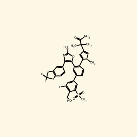 Cc1nc(-c2ccc3c(c2)OC(F)(F)O3)c(-c2cc(-c3cc(F)c(CO)c(S(C)(=O)=O)c3)ccc2-c2cc(C(C)(C)C(N)=O)nn2C)o1